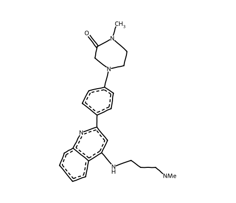 CNCCCNc1cc(-c2ccc(N3CCN(C)C(=O)C3)cc2)nc2ccccc12